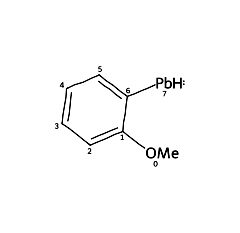 COc1cccc[c]1[PbH]